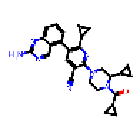 N#Cc1cc(-c2cccc3nc(N)ncc23)c(C2CC2)nc1N1CCN(C(=O)C2CC2)C(C2CC2)C1